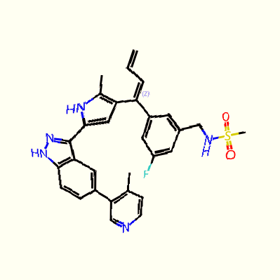 C=C/C=C(/c1cc(F)cc(CNS(C)(=O)=O)c1)c1cc(-c2n[nH]c3ccc(-c4cnccc4C)cc23)[nH]c1C